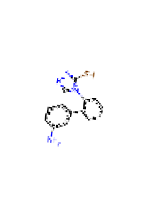 Nc1cccc(-c2ccccc2-n2cnnc2S)c1